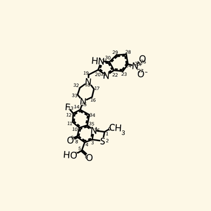 CC1Sc2c(C(=O)O)c(=O)c3cc(F)c(N4CCN(Cc5nc6cc([N+](=O)[O-])ccc6[nH]5)CC4)cc3n21